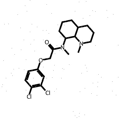 CN1CCCC2CCCC(N(C)C(=O)COc3ccc(Cl)c(Cl)c3)C21